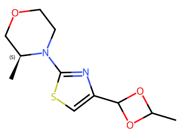 CC1OC(c2csc(N3CCOC[C@@H]3C)n2)O1